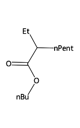 CCCCCC(CC)C(=O)OCCCC